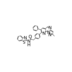 Cc1cc2ncc3cc(-c4ccccc4)c(-c4ccc(CC(=O)Nc5nc6ccccc6s5)cc4)nc3n2n1